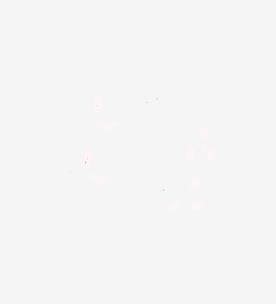 C=C(C)C(=O)OCCSCCS(=O)(=O)[O-].C=C(C)C(=O)OCCSCCS(=O)(=O)[O-].[Ca+2]